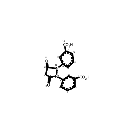 O=C(O)c1cccc(N2C(=O)CC(=O)N2c2cccc(C(=O)O)c2)c1